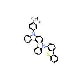 Cc1ccc(-n2c3ccccc3c3c4c5ccccc5n(-c5cccc6c5sc5ccccc56)c4ccc32)cc1